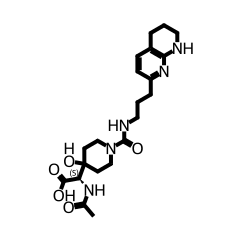 CC(=O)N[C@H](C(=O)O)C1(O)CCN(C(=O)NCCCc2ccc3c(n2)NCCC3)CC1